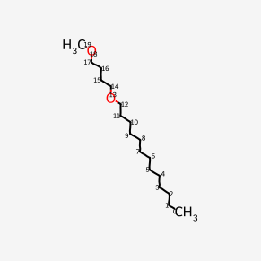 CCCCCCCCCCCCCOCCCCOC